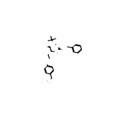 CC(C)(C)OC(=O)[C@H](CCOc1ccc(CN)cc1)NC(=O)OCc1ccccc1